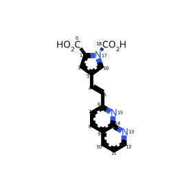 O=C(O)c1cc(/C=C/c2ccc3cccnc3n2)cn1C(=O)O